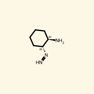 N=N[C@@H]1CCCC[C@H]1N